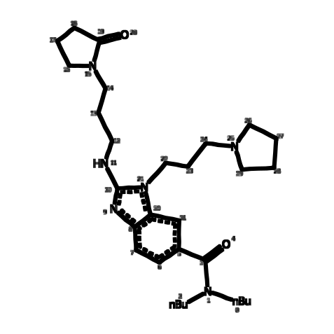 CCCCN(CCCC)C(=O)c1ccc2nc(NCCCN3CCCC3=O)n(CCCN3CCCC3)c2c1